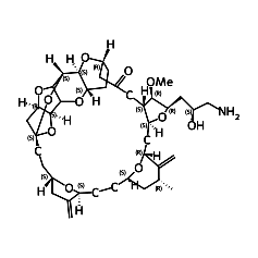 C=C1C[C@@H]2CC[C@@]34C[C@H]5OC6C(O[C@H]7CC[C@H](CC(=O)C[C@@H]8[C@@H](OC)[C@@H](C[C@H](O)CN)O[C@H]8C[C@H]8O[C@@H](CC[C@@H]1O2)C[C@@H](C)C8=C)O[C@@H]7[C@@H]6O3)[C@H]5O4